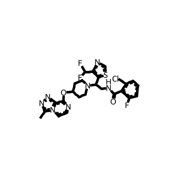 Cc1nnc2c(OC3CCN(C(CNC(=O)c4c(F)cccc4Cl)c4scnc4C(F)F)CC3)nccn12